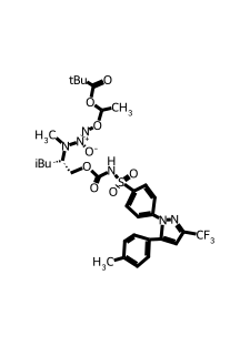 CC[C@@H](C)[C@@H](COC(=O)NS(=O)(=O)c1ccc(-n2nc(C(F)(F)F)cc2-c2ccc(C)cc2)cc1)N(C)/[N+]([O-])=N/OC(C)OC(=O)C(C)(C)C